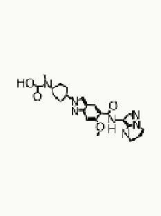 COc1cc2nn(C3CCC(N(C)C(=O)O)CC3)cc2cc1C(=O)Nc1cnn2cccnc12